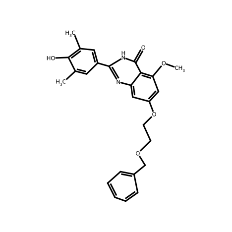 COc1cc(OCCOCc2ccccc2)cc2nc(-c3cc(C)c(O)c(C)c3)[nH]c(=O)c12